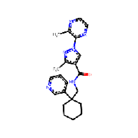 Cc1nccnc1-n1cc(C(=O)NCC2(c3cccnc3)CCCCC2)c(C(F)(F)F)n1